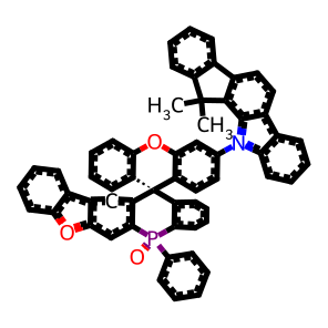 CC1(C)c2ccccc2-c2ccc3c4ccccc4n(-c4ccc5c(c4)Oc4ccccc4[C@@]54c5ccccc5P(=O)(c5ccccc5)c5cc6oc7ccccc7c6cc54)c3c21